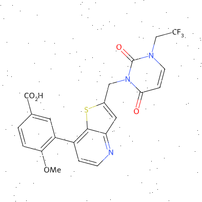 COc1ccc(C(=O)O)cc1-c1ccnc2cc(Cn3c(=O)ccn(CC(F)(F)F)c3=O)sc12